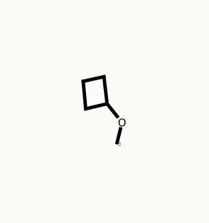 [CH]OC1CCC1